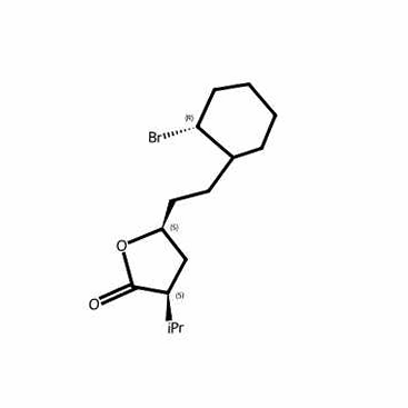 CC(C)[C@@H]1C[C@H](CCC2CCCC[C@H]2Br)OC1=O